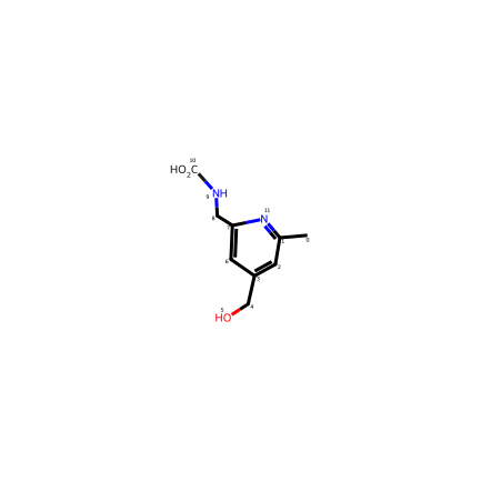 Cc1cc(CO)cc(CNC(=O)O)n1